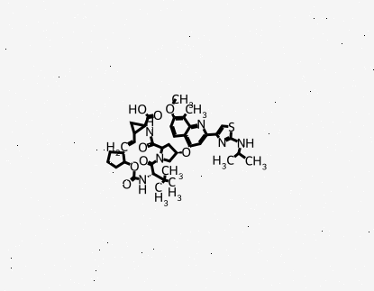 C=CC1C[C@]1(NC(=O)C1C[C@@H](Oc2cc(-c3csc(NC(C)C)n3)nc3c(C)c(OC)ccc23)CN1C(=O)[C@@H](NC(=O)OC1CCCC1)C(C)(C)C)C(=O)O